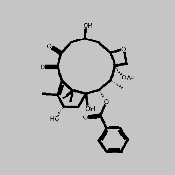 CC(=O)O[C@@]12COC1CC(O)CC(=O)C(=O)C1=C(C)[C@@H](O)CC(O)([C@@H](OC(=O)c3ccccc3)[C@H]2C)C1(C)C